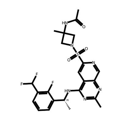 CC(=O)NC1(C)CN(S(=O)(=O)c2cc3c(N[C@H](C)c4cccc(C(F)F)c4F)nc(C)nc3cn2)C1